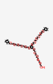 OCCOCCOCCOCCOCCOc1cc(OCCOCCOCCOCCOCCOCc2ccccc2)cc(OCCOCCOCCOCCOCCOCc2ccccc2)c1